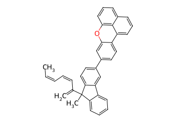 C=C(/C=C\C=C/C)C1(C)c2ccccc2-c2cc(-c3ccc4c(c3)Oc3cccc5cccc-4c35)ccc21